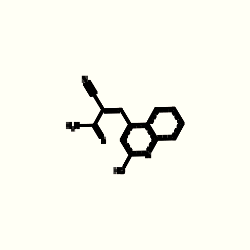 N#C/C(=C/c1cc(O)nc2ccccc12)C(N)=S